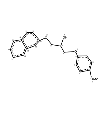 COc1ccc(OCC(O)COc2ccc3ccccc3c2)cc1